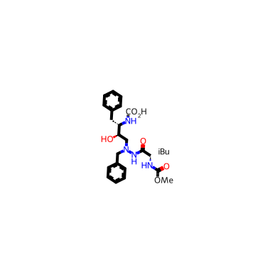 CC[C@H](C)[C@H](NC(=O)OC)C(=O)NN(Cc1ccccc1)C[C@@H](O)[C@H](Cc1ccccc1)NC(=O)O